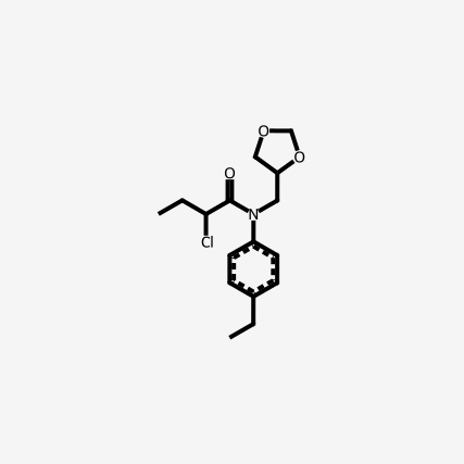 CCc1ccc(N(CC2COCO2)C(=O)C(Cl)CC)cc1